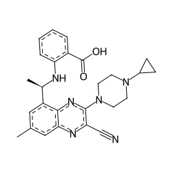 Cc1cc([C@@H](C)Nc2ccccc2C(=O)O)c2nc(N3CCN(C4CC4)CC3)c(C#N)nc2c1